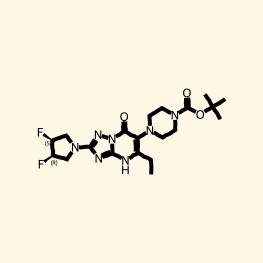 CCc1[nH]c2nc(N3C[C@@H](F)[C@@H](F)C3)nn2c(=O)c1N1CCN(C(=O)OC(C)(C)C)CC1